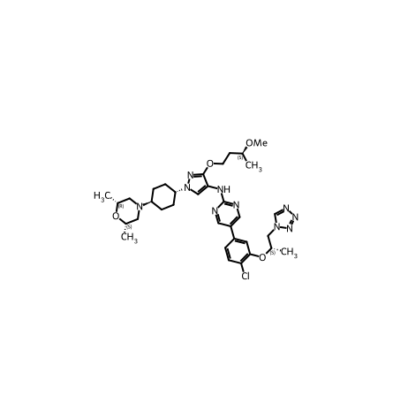 CO[C@@H](C)CCOc1nn([C@H]2CC[C@H](N3C[C@@H](C)O[C@@H](C)C3)CC2)cc1Nc1ncc(-c2ccc(Cl)c(O[C@@H](C)Cn3cnnn3)c2)cn1